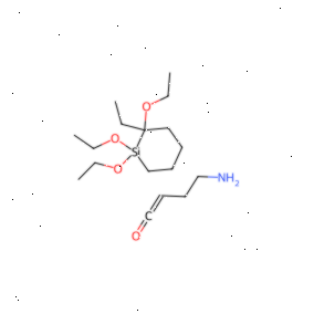 CCOC1(CC)CCCC[Si]1(OCC)OCC.NCCC=C=O